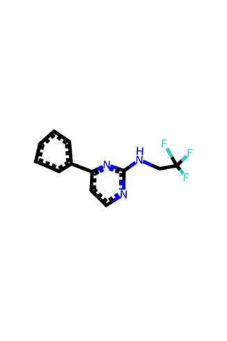 FC(F)(F)CNc1nccc(-c2ccccc2)n1